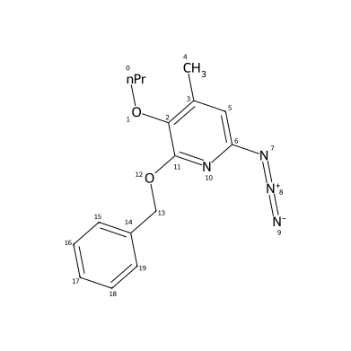 CCCOc1c(C)cc(N=[N+]=[N-])nc1OCc1ccccc1